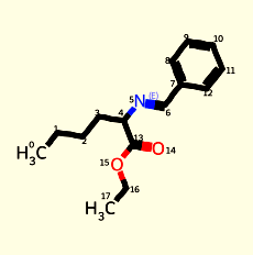 CCCCC(/N=C/c1ccccc1)C(=O)OCC